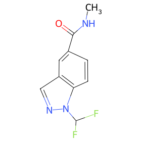 CNC(=O)c1ccc2c(cnn2C(F)F)c1